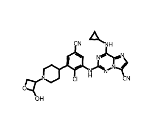 N#Cc1cc(Nc2nc(NC3CC3)c3ncc(C#N)n3n2)c(Cl)c(C2CCN(C3COC3O)CC2)c1